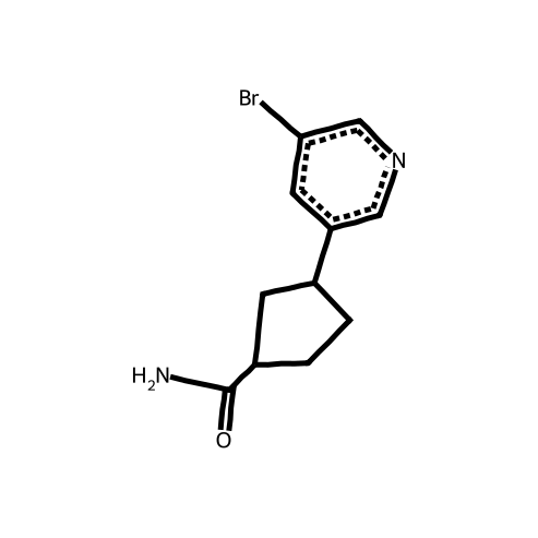 NC(=O)C1CCC(c2cncc(Br)c2)C1